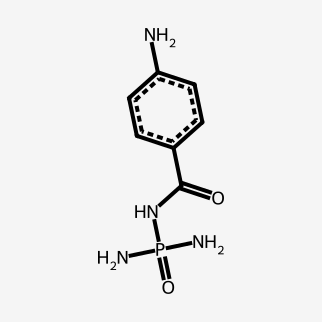 Nc1ccc(C(=O)NP(N)(N)=O)cc1